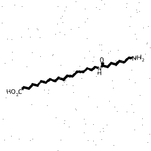 NCCCCCCC(=O)NCCCCCCCCCCCCCCCCCC(=O)O